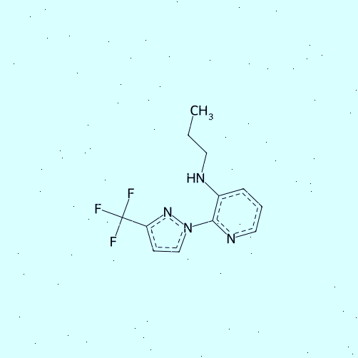 CCCNc1cccnc1-n1ccc(C(F)(F)F)n1